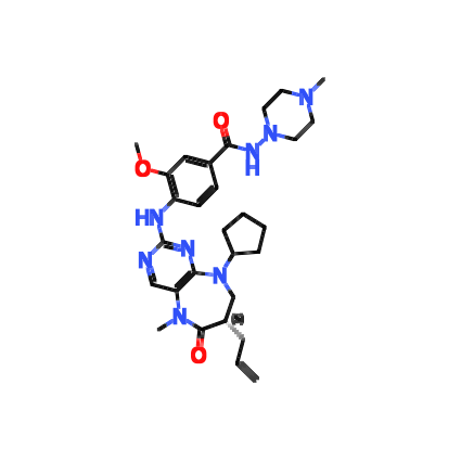 C=CC[C@H]1CN(C2CCCC2)c2nc(Nc3ccc(C(=O)NN4CCN(C)CC4)cc3OC)ncc2N(C)C1=O